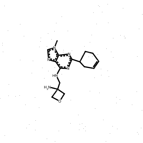 Cn1cnc2c(NCC3(N)COC3)nc(C3CC=CCC3)nc21